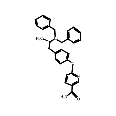 C[C@H](Cc1ccc(Oc2ccc(C(N)=O)cn2)cc1)N(Cc1ccccc1)Cc1ccccc1